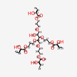 CC=C(O)C(=O)OCCCOCC(O)C(OCCCOC(=O)C(O)=CC)C(COCCCOC(=O)C(O)=CC)OCCCOC(=O)C(O)=CC